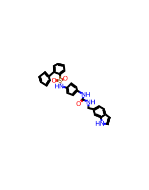 O=C(NCc1ccc2cc[nH]c2c1)Nc1ccc(NS(=O)(=O)c2ccccc2-c2ccccc2)cc1